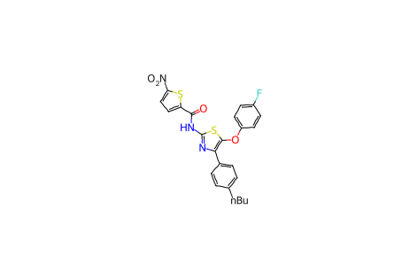 CCCCc1ccc(-c2nc(NC(=O)c3ccc([N+](=O)[O-])s3)sc2Oc2ccc(F)cc2)cc1